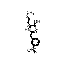 CSCC[C@H](NC(=O)Cc1cccc([N+](=O)[O-])c1)C(=O)O